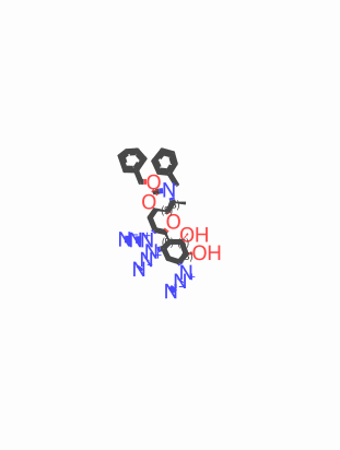 C[C@@H]([C@@H]1CCC(N=[N+]=[N-])C([C@@H]2C(N=[N+]=[N-])CC(N=[N+]=[N-])[C@H](O)[C@H]2O)O1)N(Cc1ccccc1)C(=O)OCc1ccccc1